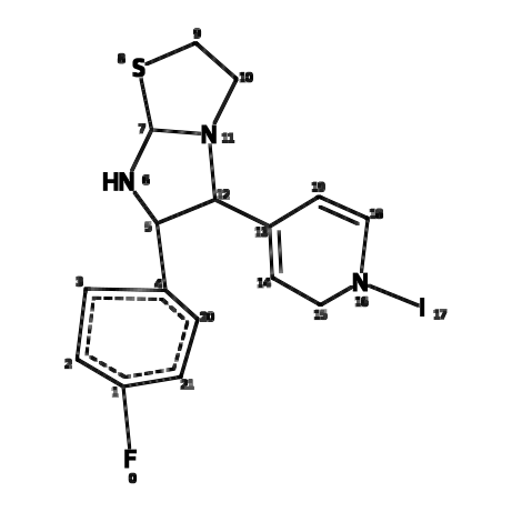 Fc1ccc(C2NC3SCCN3C2C2=CCN(I)C=C2)cc1